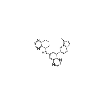 Cn1ccc2ccc(-c3cc(NC4CCCc5nccnc54)cc4nccnc34)cc21